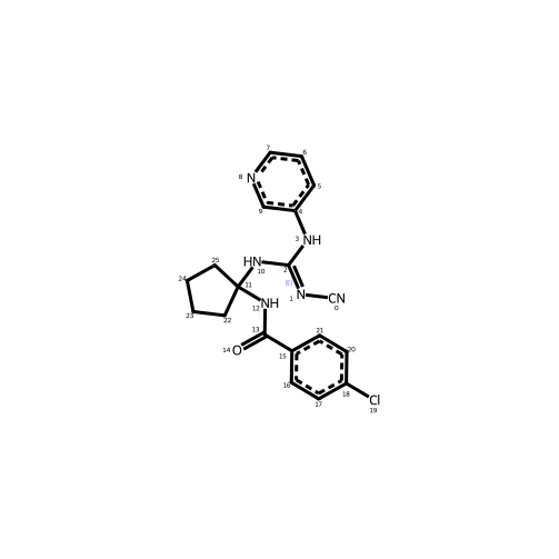 N#C/N=C(\Nc1cccnc1)NC1(NC(=O)c2ccc(Cl)cc2)CCCC1